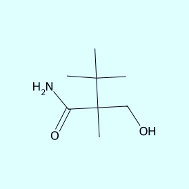 CC(C)(C)C(C)(CO)C(N)=O